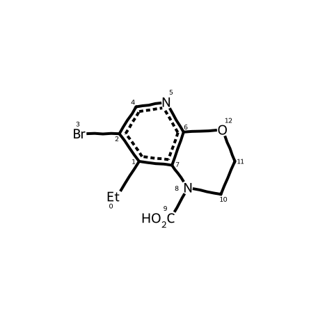 CCc1c(Br)cnc2c1N(C(=O)O)CCO2